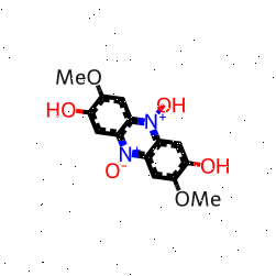 COc1cc2c(cc1O)[n+](O)c1cc(OC)c(O)cc1[n+]2[O-]